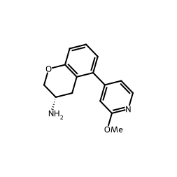 COc1cc(-c2cccc3c2C[C@H](N)CO3)ccn1